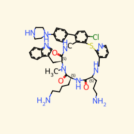 CN1C(=O)[C@H](CCCCN)NC(=O)[C@H](CCCN)NCc2cccnc2Sc2c(Cl)ccc(-c3ccc(N4CCNCC4)cc3)c2CNC(=O)[C@@H]1Cc1c[nH]c2ccccc12